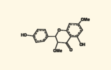 COc1cc(O)c2c(c1)OC(c1ccc(O)cc1)C(OC)C2=O